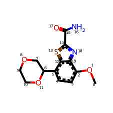 COc1ccc(C2COCCO2)c2sc(C(N)=O)nc12